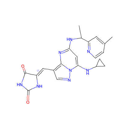 Cc1ccnc(C(C)Nc2cc(NC3CC3)n3ncc(/C=C4\NC(=O)NC4=O)c3n2)c1